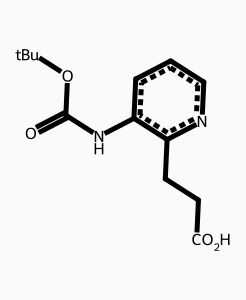 CC(C)(C)OC(=O)Nc1cccnc1CCC(=O)O